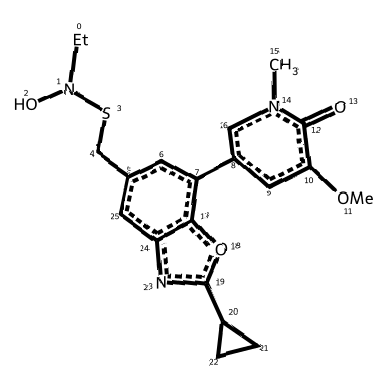 CCN(O)SCc1cc(-c2cc(OC)c(=O)n(C)c2)c2oc(C3CC3)nc2c1